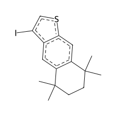 CC1(C)CCC(C)(C)c2cc3c(I)csc3cc21